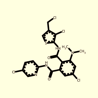 CN(C)c1cc(Cl)cc(C(=O)Nc2ccc(Cl)cn2)c1C(=O)Nc1scc(CCl)c1Cl